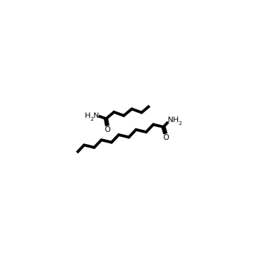 CCCCCC(N)=O.CCCCCCCCCCC(N)=O